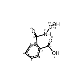 O=C(O)c1ccccc1C(=O)NOO